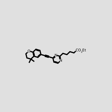 CCOC(=O)CCCCc1nccc(C#Cc2ccc3c(c2)C(C)(C)CCO3)n1